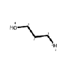 [2H]CCCO